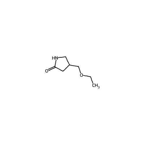 CCOCC1CNC(=O)C1